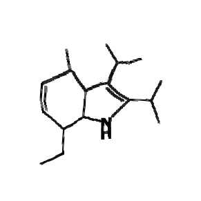 CCC1C=CC(C)C2C(C(C)C)=C(C(C)C)NC12